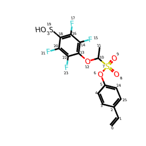 C=Cc1ccc(OS(=O)(=O)C(C)Oc2c(F)c(F)c(S(=O)(=O)O)c(F)c2F)cc1